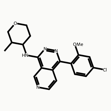 COc1cc(Cl)ccc1-c1nnc(NC2CCOCC2C)c2cnccc12